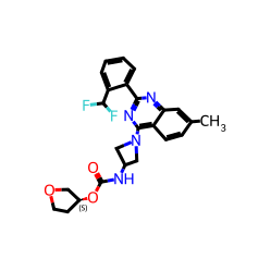 Cc1ccc2c(N3CC(NC(=O)O[C@H]4CCOC4)C3)nc(-c3ccccc3C(F)F)nc2c1